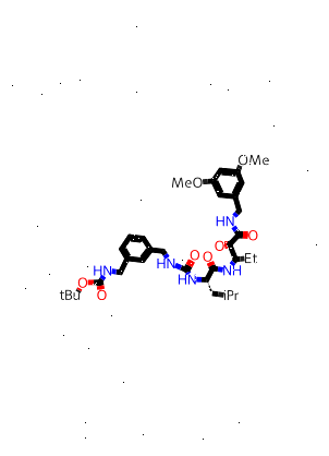 CCC(NC(=O)[C@H](CC(C)C)NC(=O)NCc1cccc(CNC(=O)OC(C)(C)C)c1)C(=O)C(=O)NCc1cc(OC)cc(OC)c1